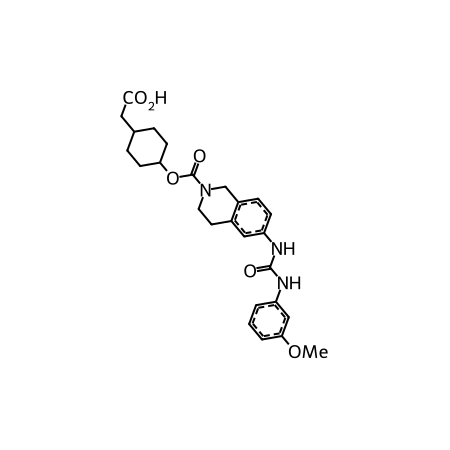 COc1cccc(NC(=O)Nc2ccc3c(c2)CCN(C(=O)OC2CCC(CC(=O)O)CC2)C3)c1